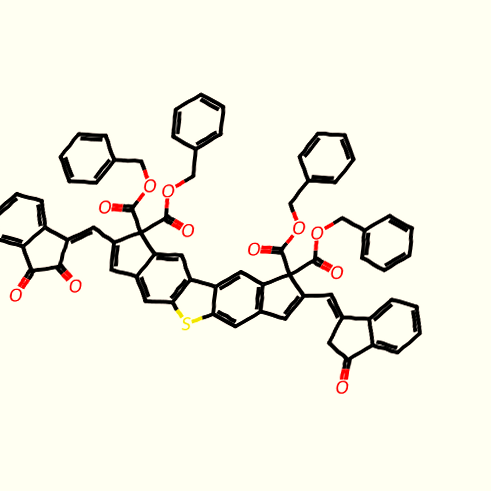 O=C1C(=O)c2ccccc2/C1=C/C1=Cc2cc3sc4cc5c(cc4c3cc2C1(C(=O)OCc1ccccc1)C(=O)OCc1ccccc1)C(C(=O)OCc1ccccc1)(C(=O)OCc1ccccc1)C(/C=C1\CC(=O)c2ccccc21)=C5